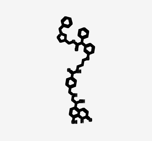 O=C(NCCCOc1cccc(C(C(=O)OCC2CCN(Cc3ccccc3)C2)c2ccccc2)c1)c1ccc(CNCC(O)c2ccc(O)c3[nH]c(=O)ccc23)cc1